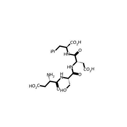 CC(C)C[C@H](NC(=O)[C@H](CC(=O)O)NC(=O)[C@H](CO)NC(=O)[C@@H](N)CC(=O)O)C(=O)O